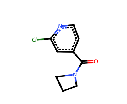 O=C(c1ccnc(Cl)c1)N1CCC1